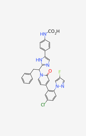 O=C(O)Nc1ccc(-c2cnc(C(Cc3ccccc3)n3ccc(-c4cc(Cl)ccc4-n4cc(F)cn4)cc3=O)[nH]2)cc1